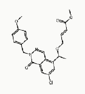 COC(=O)/C=C/COC(C)c1cc(Cl)cc2c(=O)n(Cc3ccc(OC)cc3)ncc12